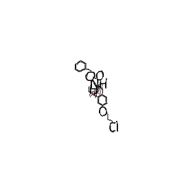 O=C(OCc1ccccc1)N1CC[C@]23CCCC[C@H]2[C@H]1Cc1ccc(OCCCCl)cc13